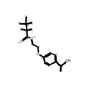 CC(O)c1ccc(OCCOC(=O)C(C)(C)C(C)(C)C)cc1